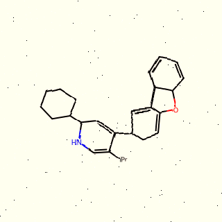 CC(C)C1=CNC(C2CCCCC2)C=C1C1C=C2C(=CC1)OC1C=CC=CC21